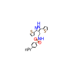 CCCc1ccc(S(=O)(=O)NCCc2c(-c3cccs3)n[nH]c2-c2cccs2)cc1